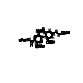 CCCCCNc1nc(C)c(-c2c(OC)cc(CCOC)cc2OC)nc1OC